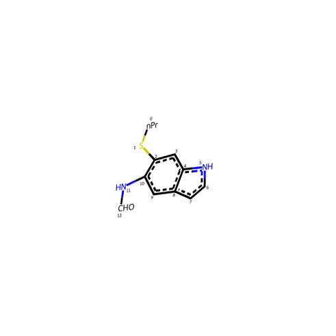 CCCSc1cc2[nH]ccc2cc1NC=O